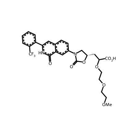 COCCOCCOC(C[C@H]1CN(c2ccc3cc(-c4ccccc4C(F)(F)F)[nH]c(=O)c3c2)C(=O)O1)C(=O)O